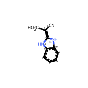 N#CC(C(=O)O)=C1Nc2ccccc2N1